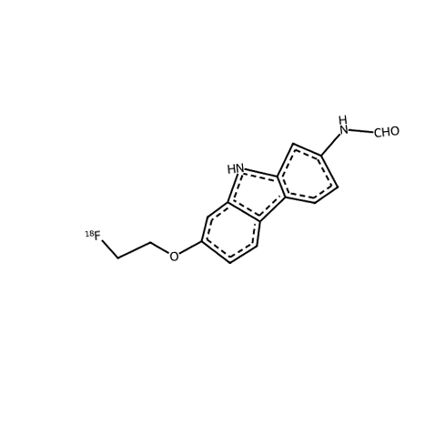 O=CNc1ccc2c(c1)[nH]c1cc(OCC[18F])ccc12